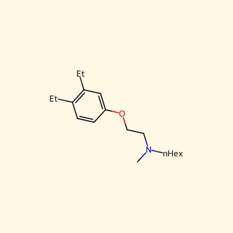 CCCCCCN(C)CCOc1ccc(CC)c(CC)c1